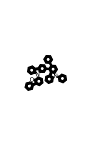 c1ccc(-c2ccc3c(c2-c2ccc4c5ccccc5n(-c5cccc6c5oc5ccccc56)c4c2)c2ccccc2n3-c2ccccc2)cc1